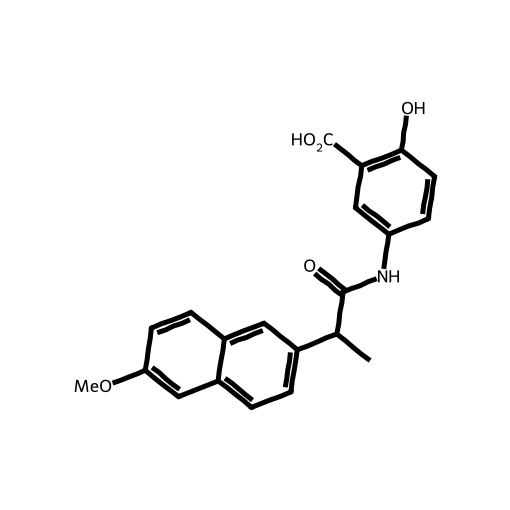 COc1ccc2cc(C(C)C(=O)Nc3ccc(O)c(C(=O)O)c3)ccc2c1